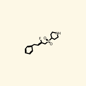 O=S(=O)(CC(F)=CCc1ccccc1)C1CCNCC1